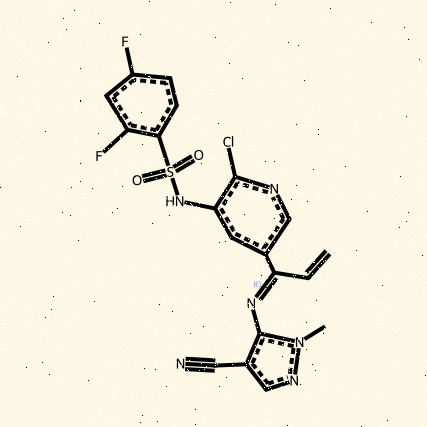 C=C/C(=N\c1c(C#N)cnn1C)c1cnc(Cl)c(NS(=O)(=O)c2ccc(F)cc2F)c1